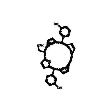 CCCCCCCCCCCc1c2nc(c(-c3cccc(O)c3)c3ccc(cc4nc(c(-c5cccc(O)c5)c5ccc1[nH]5)C=C4)[nH]3)C=C2